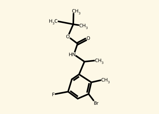 Cc1c(Br)cc(F)cc1C(C)NC(=O)OC(C)(C)C